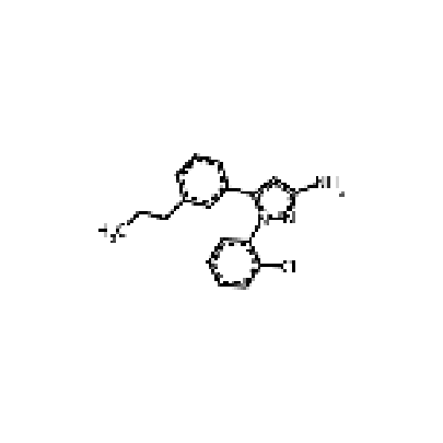 CCCc1cccc(-c2cc(N)nn2-c2ccccc2Cl)c1